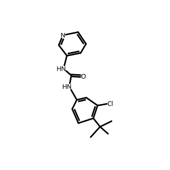 CC(C)(C)c1ccc(NC(=O)Nc2cccnc2)cc1Cl